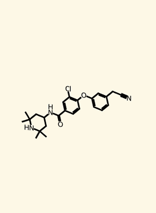 CC1(C)CC(NC(=O)c2ccc(Oc3cccc(CC#N)c3)c(Cl)c2)CC(C)(C)N1